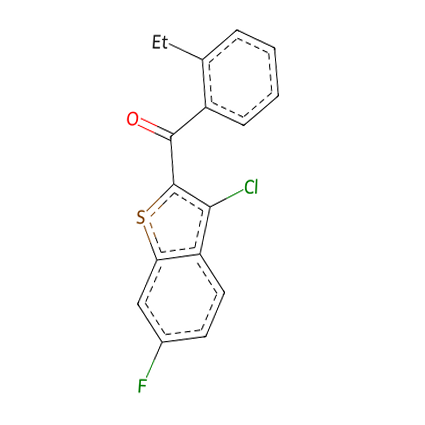 CCc1ccccc1C(=O)c1sc2cc(F)ccc2c1Cl